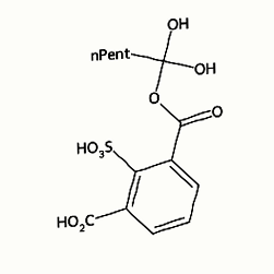 CCCCCC(O)(O)OC(=O)c1cccc(C(=O)O)c1S(=O)(=O)O